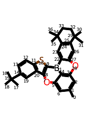 Cc1cc2c3c(c1)Oc1c(sc4ccc(C(C)(C)C)cc14)B3c1cc3c(cc1O2)C(C)(C)CCC3(C)C